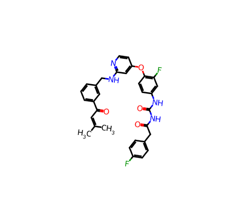 CC(C)=CC(=O)c1cccc(CNc2cc(Oc3ccc(NC(=O)NC(=O)Cc4ccc(F)cc4)cc3F)ccn2)c1